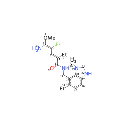 CC/C(=C\C(F)=C(/N)OC)C(=O)NCc1c(CC)ccc2c1N(C)CN2